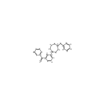 O=C(c1cccnc1)c1cccc(N2CCCN(Cc3ccccc3)CC2)n1